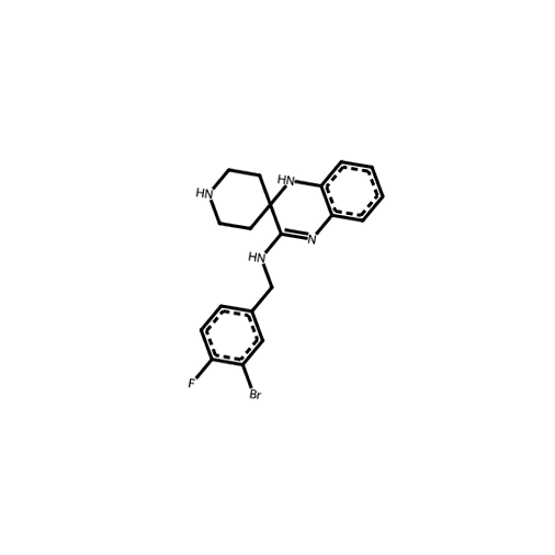 Fc1ccc(CNC2=Nc3ccccc3NC23CCNCC3)cc1Br